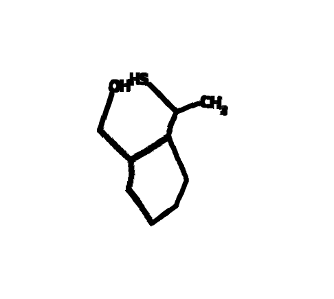 CC(S)C1CCCCC1CO